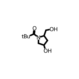 CC(C)(C)C(=O)N1CC(O)CC1CO